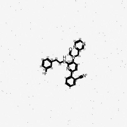 N#Cc1ccccc1-c1ccc(N(C=O)Cc2cnccn2)c(NCCc2cccc(F)c2)n1